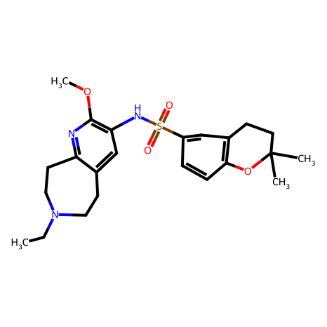 CCN1CCc2cc(NS(=O)(=O)c3ccc4c(c3)CCC(C)(C)O4)c(OC)nc2CC1